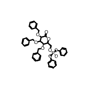 O=C1OC(COP(=O)(Oc2ccccc2)Oc2ccccc2)[C@@H](OCc2ccccc2)C(OCc2ccccc2)C1OCc1ccccc1